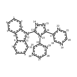 c1ccc2c(c1)c1ccccc1n2-c1nnc(-c2cnccn2)n1-c1cnccn1